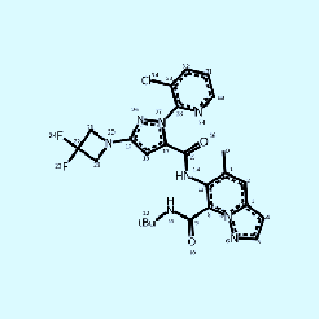 Cc1cc2ccnn2c(C(=O)NC(C)(C)C)c1NC(=O)c1cc(N2CC(F)(F)C2)nn1-c1ncccc1Cl